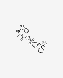 CC(C)OC(=O)[C@H]1CN(S(=O)(=O)c2ccc(-c3ccccc3S(N)(=O)=O)cc2)C[C@@H]1c1cccc(C(=N)N)c1